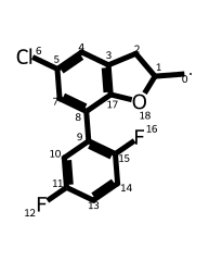 [CH2]C1Cc2cc(Cl)cc(-c3cc(F)ccc3F)c2O1